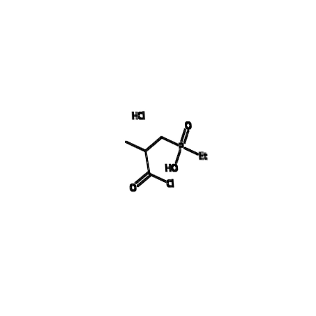 CCP(=O)(O)CC(C)C(=O)Cl.Cl